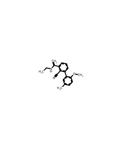 C=C(NCC)c1cccc(-c2cc(C)ccc2OC)c1C#N